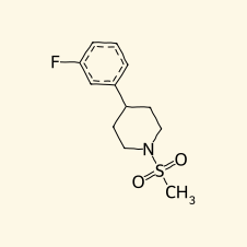 CS(=O)(=O)N1CCC(c2cccc(F)c2)CC1